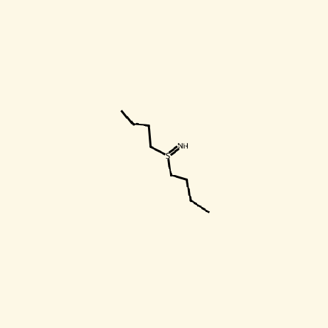 CCCCS(=N)CCCC